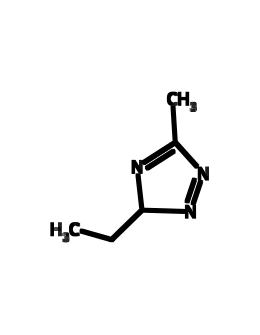 CCC1N=NC(C)=N1